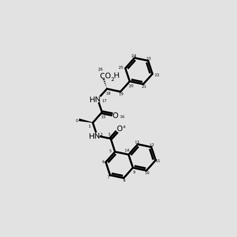 C[C@H](NC(=O)c1cccc2ccccc12)C(=O)N[C@@H](Cc1ccccc1)C(=O)O